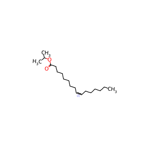 CCCCCC/C=C\CCCCCCCC(=O)OC(C)C